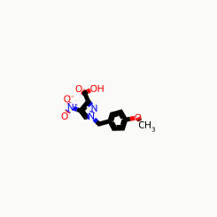 COc1ccc(Cn2cc([N+](=O)[O-])c(C(=O)O)n2)cc1